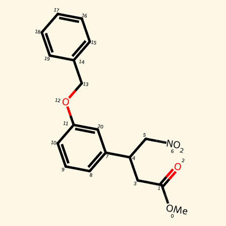 COC(=O)CC(C[N+](=O)[O-])c1cccc(OCc2ccccc2)c1